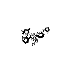 CC1CN(c2ncccc2C(=O)NS(=O)(=O)c2cccc(O[C@@H]3CCC[C@@H]3C)n2)C(C)(C)C1